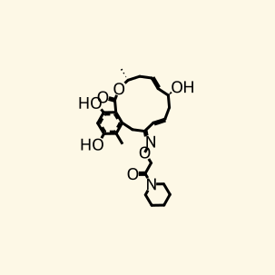 Cc1c(O)cc(O)c2c1CC(=N\OCC(=O)N1CCCCC1)/C=C/C[C@@H](O)/C=C/C[C@@H](C)OC2=O